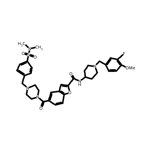 COc1ccc(CN2CCC(NC(=O)c3cc4cc(C(=O)N5CCN(Cc6ccc(S(=O)(=O)N(C)C)cc6)CC5)ccc4o3)CC2)cc1F